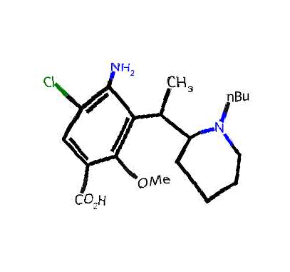 CCCCN1CCCCC1C(C)c1c(N)c(Cl)cc(C(=O)O)c1OC